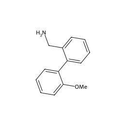 COc1ccccc1-c1ccccc1CN